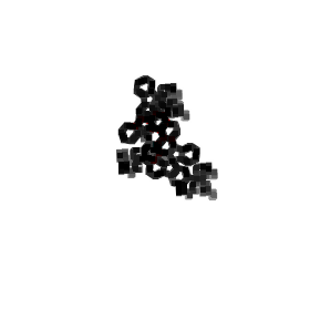 CC(C)(C)c1ccc2c(c1)C1(c3ccccc3-c3cc(-c4ccccc4N(c4ccccc4-c4ccc5c(c4)-c4ccccc4C5(C)C)c4ccccc4-c4cccc5c4-c4ccccc4C5(C)C)ccc31)c1cc(C(C)(C)C)ccc1-2